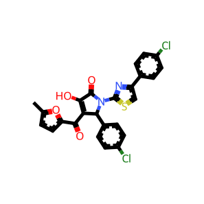 Cc1ccc(C(=O)C2=C(O)C(=O)N(c3nc(-c4ccc(Cl)cc4)cs3)C2c2ccc(Cl)cc2)o1